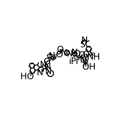 Cc1ncsc1-c1ccc([C@H](C)NC(=O)[C@@H]2C[C@@H](O)CN2C(=O)[C@@H](c2cc(N3CCN(C(=O)OC[C@@H]4CC[C@]5(COc6nc(N7CCCCCC7)c7cnc8c(c7n6)C(C)c6cccc7cc(O)cc-8c67)CCCN45)CC3)no2)C(C)C)cc1